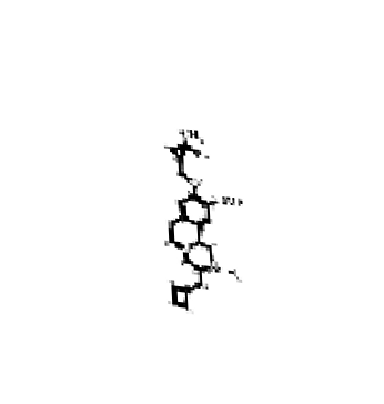 COc1cc2c(cc1OCC1CC1(C)F)CCN1CC(CC3CCC3)N(C)CC21